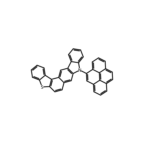 c1cc2ccc3cccc4c(-n5c6ccccc6c6cc7c(ccc8sc9ccccc9c87)cc65)cc(c1)c2c34